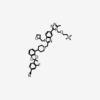 Cc1nnc(-c2ccc3c(c2)nc(CN2CCC(c4cccc5c4OC(C)(c4ccc(C#N)cc4F)O5)CC2)n3CC2CCO2)n1COCC[Si](C)(C)C